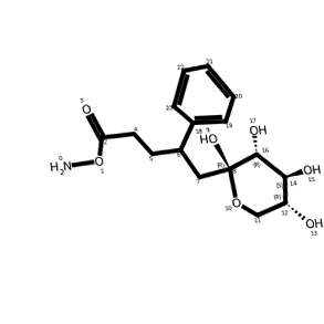 NOC(=O)CCC(C[C@@]1(O)OC[C@@H](O)[C@H](O)[C@H]1O)c1ccccc1